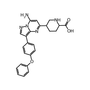 Nc1cc(C2CCC(C(=O)O)NC2)nc2c(-c3ccc(Oc4ccccc4)cc3)cnn12